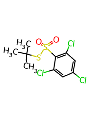 CC(C)(C)SS(=O)(=O)c1c(Cl)cc(Cl)cc1Cl